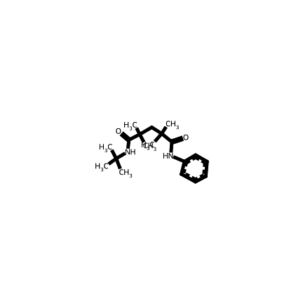 CC(C)(C)NC(=O)C(C)(C)CC(C)(C)C(=O)Nc1ccccc1